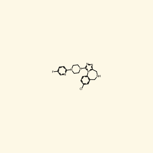 Fc1ccc(N2CCN(c3nnc4n3-c3ccc(Cl)cc3CNC4)CC2)nc1